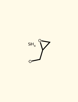 [O]CC1CO1.[SiH4]